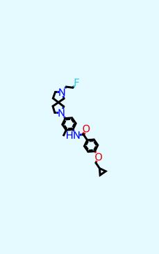 Cc1cc(N2CCC3(CCN(CCF)C3)C2)ccc1NC(=O)c1ccc(OCC2CC2)cc1